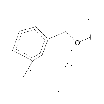 Cc1cccc(COI)c1